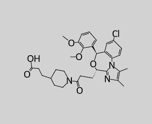 COc1cccc([C@@H]2O[C@@H](CCC(=O)N3CCC(CCC(=O)O)CC3)c3nc(C)c(C)n3-c3ccc(Cl)cc32)c1OC